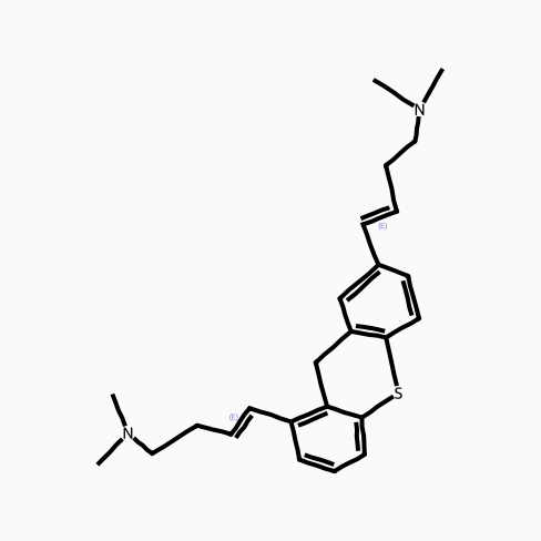 CN(C)CC/C=C/c1ccc2c(c1)Cc1c(/C=C/CCN(C)C)cccc1S2